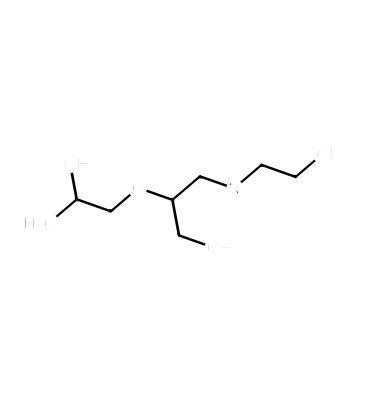 CC(O)COC(CO)CNCCO